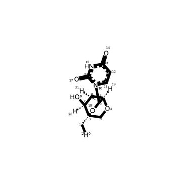 [2H]C[C@]12CO[C@H](C[C@@H]1O)[C@H](n1ccc(=O)[nH]c1=O)O2